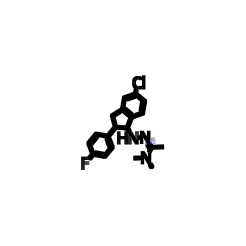 C/C(=N/NC1c2ccc(Cl)cc2CC1c1ccc(F)cc1)N(C)C